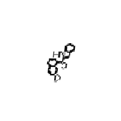 COc1ccc2cccc(C(=O)c3cc4ccccc4[nH]3)c2c1